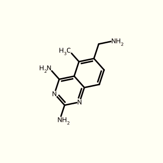 Cc1c(CN)ccc2nc(N)nc(N)c12